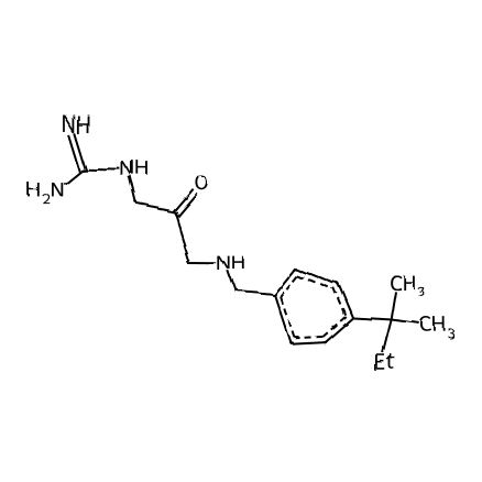 CCC(C)(C)c1ccc(CNCC(=O)CNC(=N)N)cc1